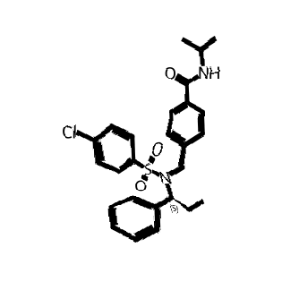 CC[C@@H](c1ccccc1)N(Cc1ccc(C(=O)NC(C)C)cc1)S(=O)(=O)c1ccc(Cl)cc1